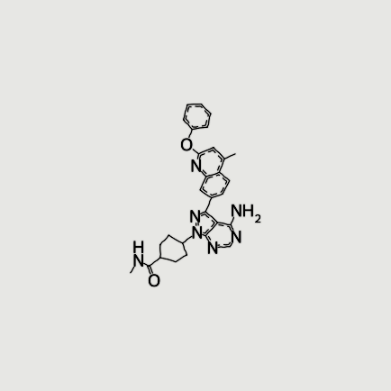 CNC(=O)C1CCC(n2nc(-c3ccc4c(C)cc(Oc5ccccc5)nc4c3)c3c(N)ncnc32)CC1